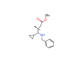 C[C@@H](CC(=O)OC(C)(C)C)C(NCc1ccccc1)C1CC1